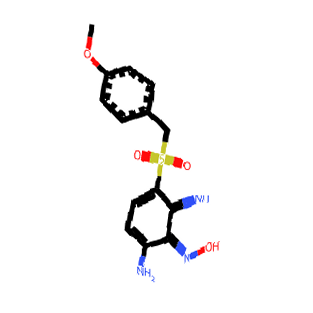 COc1ccc(CS(=O)(=O)C2=CC=C(N)/C(=N/O)C2=N)cc1